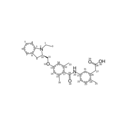 CCN1c2ccccc2C[C@@H]1COc1cc(C)c(C(=O)Nc2ccc(C)c(CC(=O)O)c2)c(C)c1